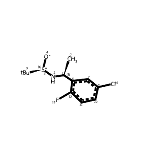 C[C@H](N[S@+]([O-])C(C)(C)C)c1cc(Cl)ccc1F